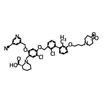 Cc1c(OCCCN2CCS(=O)(=O)CC2)cccc1-c1cccc(COc2cc(OCc3cncc(C#N)c3)c(CN3CCCC[C@H]3C(=O)O)cc2Cl)c1Cl